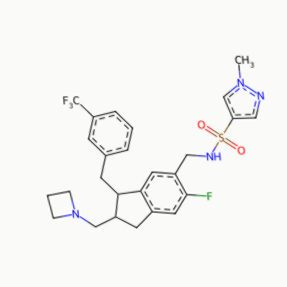 Cn1cc(S(=O)(=O)NCc2cc3c(cc2F)CC(CN2CCC2)C3Cc2cccc(C(F)(F)F)c2)cn1